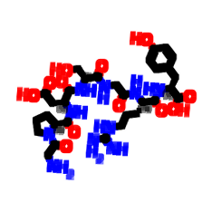 N=C(N)NCCC[C@H](NC(=O)CNC(=O)[C@H](CO)NC(=O)[C@H](CC(=O)O)NC(=O)[C@@H]1CCCN1C(=O)CN)C(=O)N[C@@H](Cc1ccc(O)cc1)C(=O)O